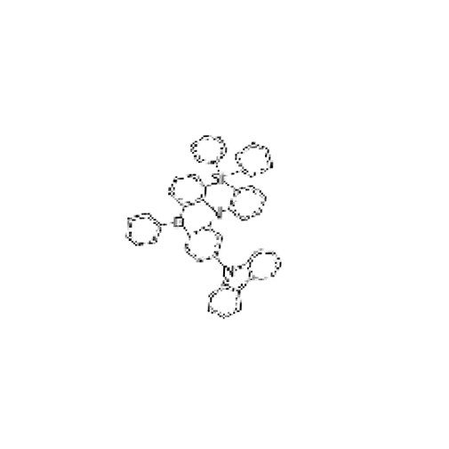 c1ccc(B2c3ccc(-n4c5ccccc5c5ccccc54)cc3N3c4ccccc4[Si](c4ccccc4)(c4ccccc4)c4cccc2c43)cc1